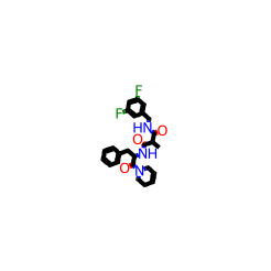 CC(C(=O)NCc1cc(F)cc(F)c1)C(=O)NC(Cc1ccccc1)C(=O)N1CC=CCC1